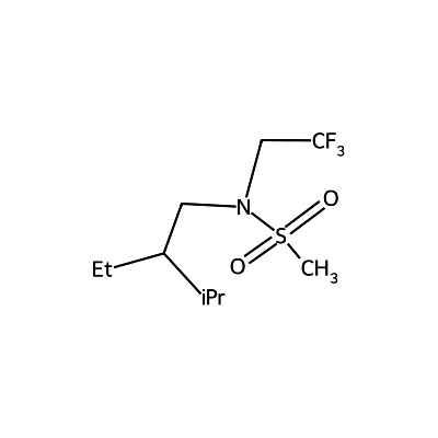 CCC(CN(CC(F)(F)F)S(C)(=O)=O)C(C)C